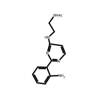 CC(=O)NCCNc1ccnc(-c2ccccc2N)n1